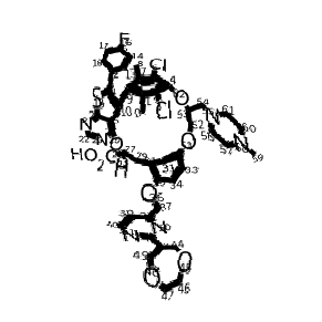 Cc1c(Cl)c2c(Cl)c(C)c1-c1c(-c3ccc(F)cc3)sc3ncnc(c13)O[C@@H](C(=O)O)Cc1cc(ccc1OCc1ccnc(C3COCCOC3)n1)OCC(CN1CCN(C)CC1)O2